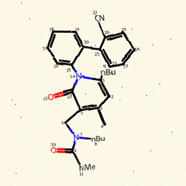 CCCCc1cc(C)c(CN(CCCC)C(=O)NC)c(=O)n1-c1ccccc1-c1ccccc1C#N